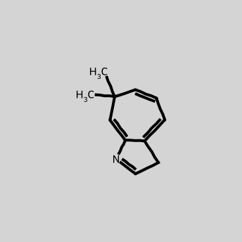 CC1(C)C=CC=C2CC=NC2=C1